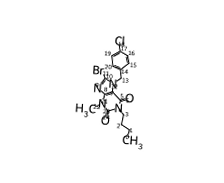 CCCCn1c(=O)c2c(nc(Br)n2Cc2ccc(Cl)cc2)n(C)c1=O